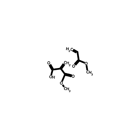 C=C(C(=O)O)C(=O)OC.C=CC(=O)OC